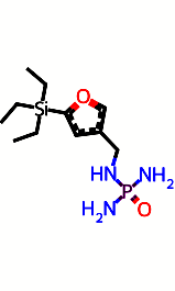 CC[Si](CC)(CC)c1cc(CNP(N)(N)=O)co1